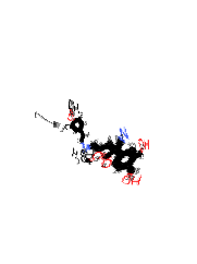 CCOC(=O)C(C#N)(CCCN(C)CCc1ccc(OC)c(C)c1)c1ccc(CO)c(CO)c1